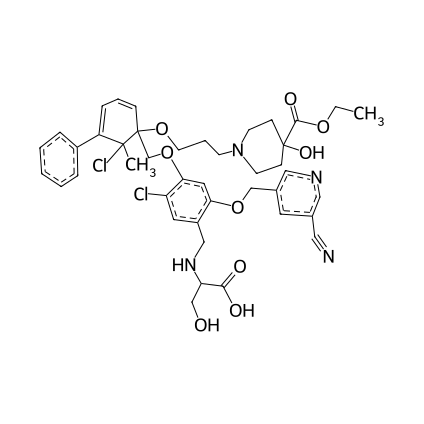 CCOC(=O)C1(O)CCN(CCCOC2(COc3cc(OCc4cncc(C#N)c4)c(CNC(CO)C(=O)O)cc3Cl)C=CC=C(c3ccccc3)C2(C)Cl)CC1